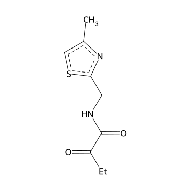 CCC(=O)C(=O)NCc1nc(C)cs1